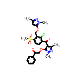 Cc1cc(OCc2c(S(C)(=O)=O)ccc(C(=O)c3c(C)nn(C)c3OCC(=O)c3ccccc3)c2Cl)n(C)n1